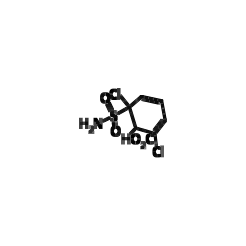 NS(=O)(=O)C1(Cl)C=CC=C(Cl)C1C(=O)O